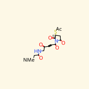 CNCC(=O)NCC(=O)C#CC(=O)N1C(=O)C[C@H](SC(C)=O)C1=O